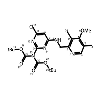 COc1c(C)cnc(CNc2cc(Cl)nc(N(C(=O)OC(C)(C)C)C(=O)OC(C)(C)C)n2)c1C